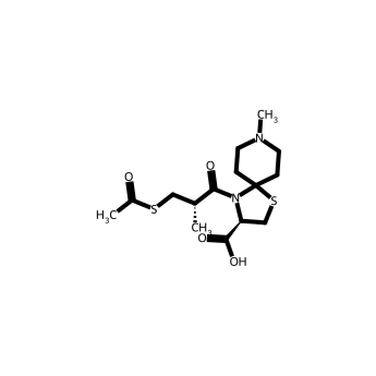 CC(=O)SC[C@@H](C)C(=O)N1[C@H](C(=O)O)CSC12CCN(C)CC2